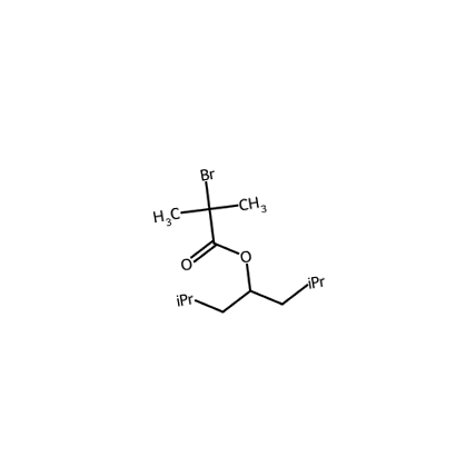 CC(C)CC(CC(C)C)OC(=O)C(C)(C)Br